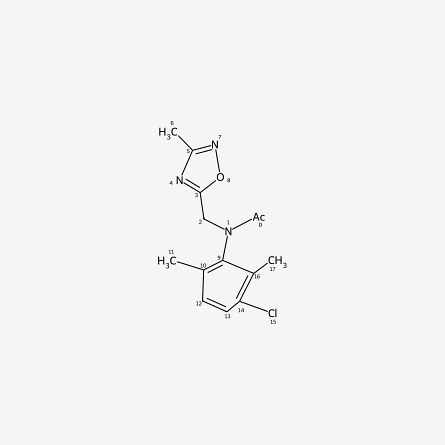 CC(=O)N(Cc1nc(C)no1)c1c(C)ccc(Cl)c1C